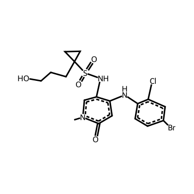 Cn1cc(NS(=O)(=O)C2(CCCO)CC2)c(Nc2ccc(Br)cc2Cl)cc1=O